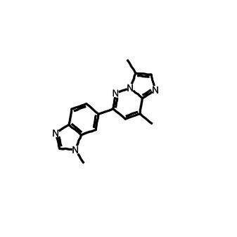 Cc1cc(-c2ccc3ncn(C)c3c2)nn2c(C)cnc12